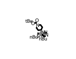 CCC[CH2][Sn]([CH2]CCC)([CH2]CCC)[c]1cnnn1C1CCN(C(=O)OC(C)(C)C)CC1